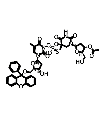 CC(=O)O[C@H]1C[C@H](N2CC(C)(OP(O)(=S)On3c(=O)c(C)cn([C@H]4C[C@H](O)[C@@H](COC5(c6ccccc6)c6ccccc6Oc6ccccc65)O4)c3=O)C(=O)NC2=O)O[C@@H]1CO